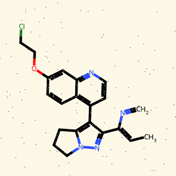 C=NC(=CC)c1nn2c(c1-c1ccnc3cc(OCCCl)ccc13)CCC2